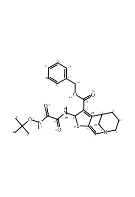 CC(C)(C)ONC(=O)C(=O)NC1SC2=CN3CCCC(C3)C2=C1C(=O)OCc1ccccc1